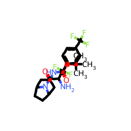 CC(C)(C)OC(=O)NC1CC2CCC(C1)N2C(=O)C(N)C(F)(F)c1ccc(C(F)(F)F)cc1